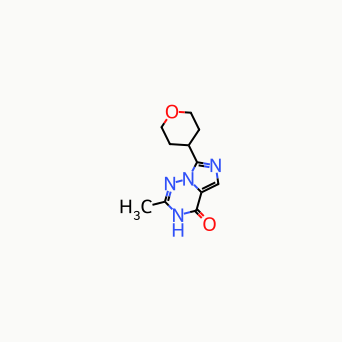 Cc1nn2c(C3CCOCC3)ncc2c(=O)[nH]1